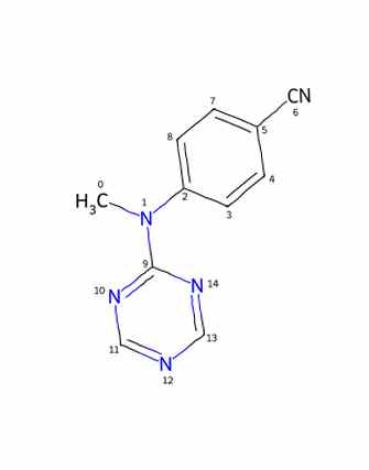 CN(c1ccc(C#N)cc1)c1ncncn1